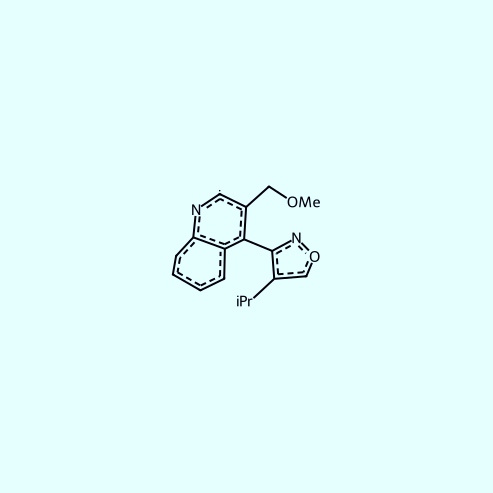 COCc1[c]nc2ccccc2c1-c1nocc1C(C)C